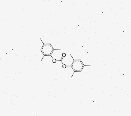 Cc1cc(C)c(OC(=O)Oc2c(C)cc(C)cc2C)c(C)c1